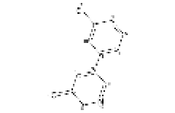 O=C1C=C(c2cccc(Cl)c2)C=NC1